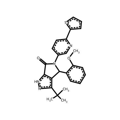 COc1ccccc1C1c2c(C(C)(C)C)n[nH]c2C(=O)N1c1ccc(-c2cccs2)nc1